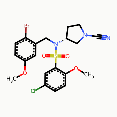 COc1ccc(Br)c(CN([C@@H]2CCN(C#N)C2)S(=O)(=O)c2cc(Cl)ccc2OC)c1